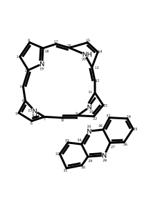 C1=Cc2cc3ccc(cc4nc(cc5ccc(cc1n2)[nH]5)C=C4)[nH]3.c1ccc2nc3ccccc3nc2c1